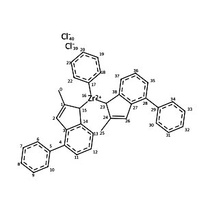 CC1=Cc2c(-c3ccccc3)cccc2[CH]1[Zr+2]([c]1ccccc1)[CH]1C(C)=Cc2c(-c3ccccc3)cccc21.[Cl-].[Cl-]